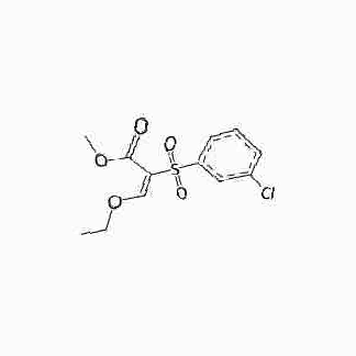 CCOC=C(C(=O)OC)S(=O)(=O)c1cccc(Cl)c1